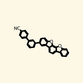 N#Cc1ccc(-c2cccc(-c3ccc4oc5c(ccc6c7ccccc7oc65)c4c3)c2)cc1